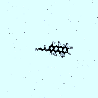 CC(=O)C1=C(O)C(C(C)C)[C@@]2(C)C[C@@]3(C)Cc4c(C(C)C)cc(CC(=O)CCC(C)C)c(O)c4C(=O)C3=C(O)[C@@]2(O)C1=O